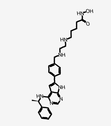 C[C@@H](Nc1ncnc2[nH]c(-c3ccc(CNCCNCCCCC(=O)NO)cc3)cc12)c1ccccc1